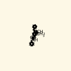 CC1(C)CN(Cc2ccccc2)c2ccc(OC(=O)NCC3CCCCC3)cc21